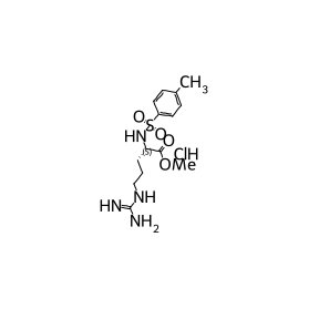 COC(=O)[C@H](CCCNC(=N)N)NS(=O)(=O)c1ccc(C)cc1.Cl